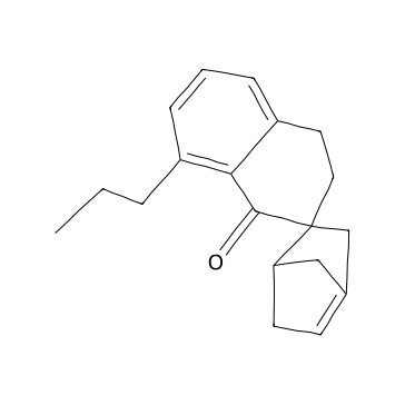 CCCc1cccc2c1C(=O)C1(CC2)CC2=CCC1C2